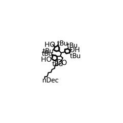 CCCCCCCCCCCCCCCCCCOC(=O)CC(c1cc(C(C)(C)C)c(O)c(C(C)(C)C)c1)C(c1cc(C(C)(C)C)c(O)c(C(C)(C)C)c1)c1cc(C(C)(C)C)c(O)c(C(C)(C)C)c1